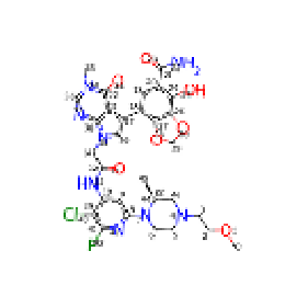 COCCN1CCN(c2cc(NC(=O)Cn3cc(-c4cc(C(N)=O)c(O)c5c4OCO5)c4c(=O)n(C)cnc43)c(Cl)c(F)n2)[C@@H](C)C1